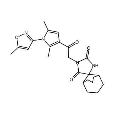 Cc1cc(-n2c(C)cc(C(=O)CN3C(=O)NC4(C3=O)C3CCCC4CCC3)c2C)no1